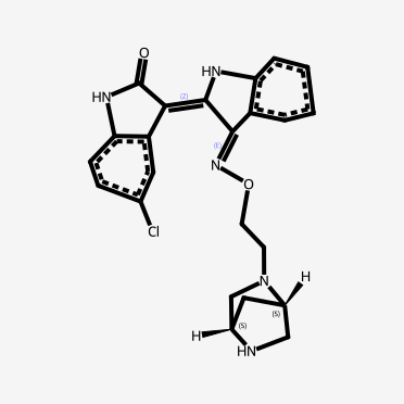 O=C1Nc2ccc(Cl)cc2/C1=C1/Nc2ccccc2/C1=N\OCCN1C[C@@H]2C[C@H]1CN2